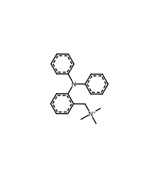 C[N+](C)(C)Cc1ccccc1N(c1ccccc1)c1ccccc1